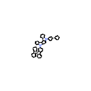 c1ccc(-c2ccc(-n3c4ccccc4c4c5c6ccccc6n(-c6ccc7c(c6)[Si]6(c8ccccc8-c8ccccc86)c6ccccc6-7)c5ccc43)cc2)cc1